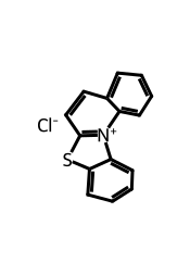 [Cl-].c1ccc2c(c1)ccc1sc3ccccc3[n+]12